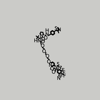 COc1nc(OCCOCCOCCOCC(=O)NC(C(=O)N2CCC[C@H]2C(=O)NCc2ccc(-c3scnc3C)cc2)C(C)(C)C)ccc1N(C(=S)N(C)c1ccc(C#N)c(C(F)(F)F)c1F)C(C)(C)C=O